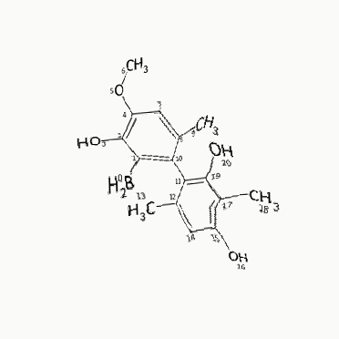 Bc1c(O)c(OC)cc(C)c1-c1c(C)cc(O)c(C)c1O